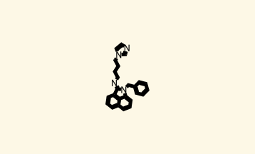 c1ccc(CN2C(=NCCCCn3ccnc3)c3cccc4cccc2c34)cc1